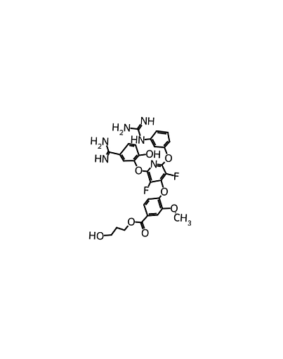 COc1cc(C(=O)OCCCO)ccc1Oc1c(F)c(Oc2cccc(NC(=N)N)c2)nc(Oc2cc(C(=N)N)ccc2O)c1F